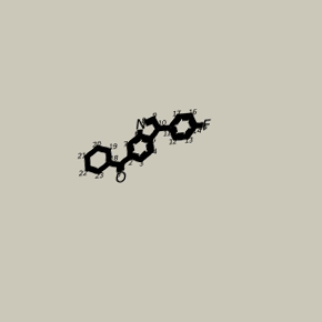 O=C(c1ccc2c(c1)N=CC2c1ccc(F)cc1)C1CCCCC1